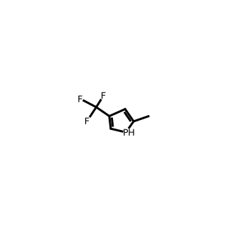 Cc1cc(C(F)(F)F)c[pH]1